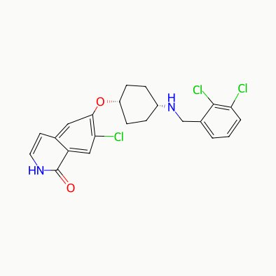 O=c1[nH]ccc2cc(O[C@H]3CC[C@@H](NCc4cccc(Cl)c4Cl)CC3)c(Cl)cc12